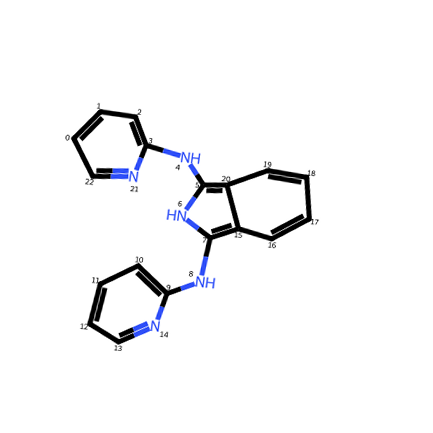 c1ccc(Nc2[nH]c(Nc3ccccn3)c3ccccc23)nc1